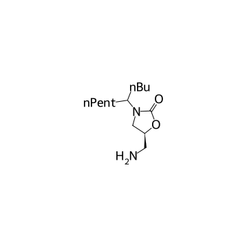 CCCCCC(CCCC)N1C[C@H](CN)OC1=O